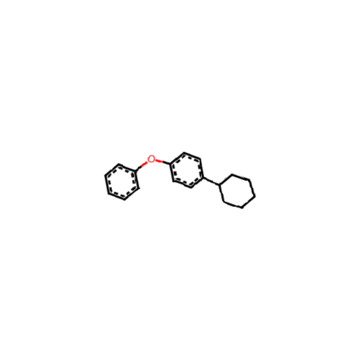 c1ccc(Oc2ccc(C3CCCCC3)cc2)cc1